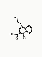 CCCCn1cc(C(=O)O)c(=O)c2ccccc21